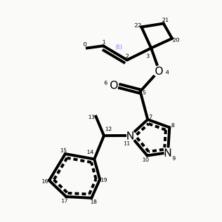 C/C=C/C1(OC(=O)c2cncn2C(C)c2ccccc2)CCC1